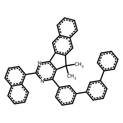 CC1(C)c2cc3ccccc3cc2-c2nc(-c3cccc4ccccc34)nc(-c3cccc(-c4cccc(-c5ccccc5)c4)c3)c21